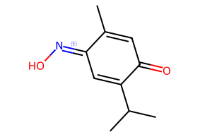 CC1=CC(=O)C(C(C)C)=C/C1=N\O